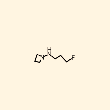 FCCCNN1CCC1